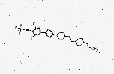 CCCC1CCC(CCC2CCC(c3ccc(-c4cc(F)c(C#CC(F)(F)F)c(F)c4)cc3)CC2)CC1